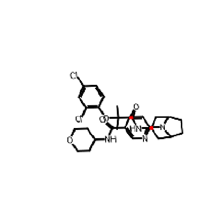 CC(C)(Oc1ccc(Cl)cc1Cl)C(=O)NC1CC2CCC(C1)N2c1ccc(C(=O)NC2CCOCC2)cn1